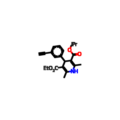 C#Cc1cccc(C2C(C(=O)OCC)=C(C)NC(C)=C2C(=O)OC(C)C)c1